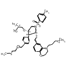 COCCCN1CCOc2ccc(CO[C@H]3CN(S(=O)(=O)c4ccc(C)cc4)C[C@@H](OC[C@@H](C)O)[C@@H]3c3ccc(COCCSC)cc3)cc21